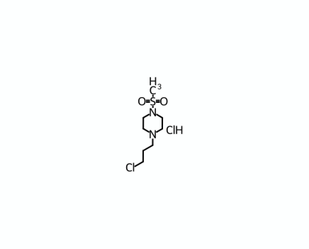 CS(=O)(=O)N1CCN(CCCCl)CC1.Cl